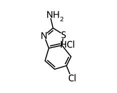 Cl.Nc1nc2ccc(Cl)cc2s1